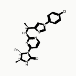 CC(C)[C@H]1[C@H](C)NC(=O)N1c1ccnc(N[C@@H](C)c2cn(-c3ccc(Cl)cc3)cn2)n1